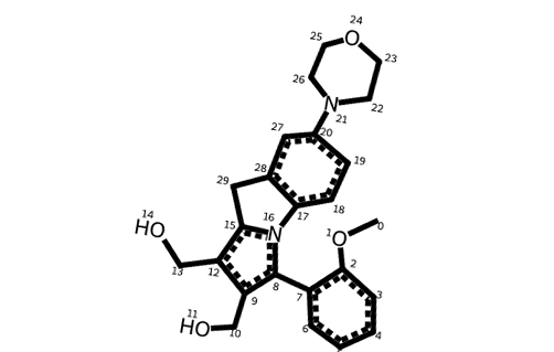 COc1ccccc1-c1c(CO)c(CO)c2n1-c1ccc(N3CCOCC3)cc1C2